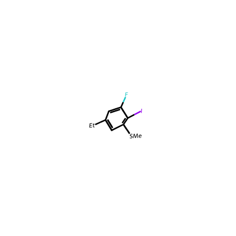 CCc1cc(F)c(I)c(SC)c1